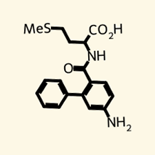 CSCCC(NC(=O)c1ccc(N)cc1-c1ccccc1)C(=O)O